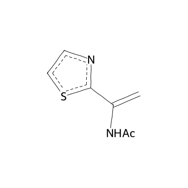 C=C(NC(C)=O)c1nccs1